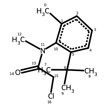 Cc1cccc(C(C)(C)C)c1N(C)C(=O)CCl